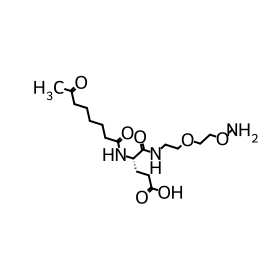 CC(=O)CCCCCC(=O)N[C@@H](CCC(=O)O)C(=O)NCCOCCON